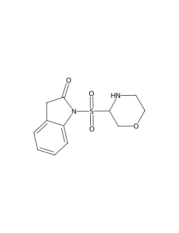 O=C1Cc2ccccc2N1S(=O)(=O)C1COCCN1